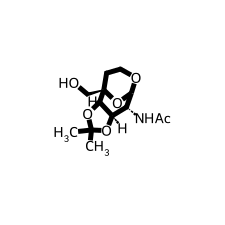 CC(=O)N[C@H]1C2OCC[C@](CO)(O2)[C@@H]2OC(C)(C)O[C@@H]21